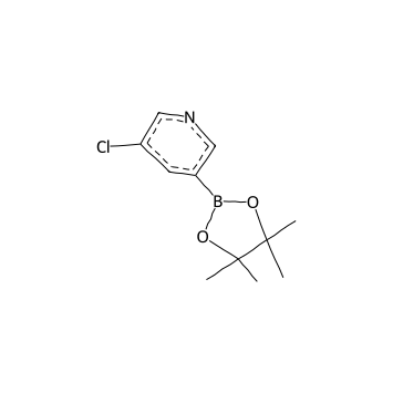 CC1(C)OB(c2cncc(Cl)c2)OC1(C)C